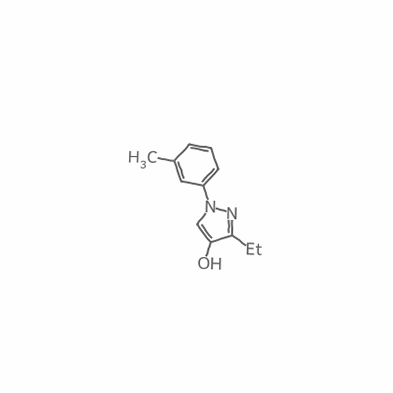 CCc1nn(-c2cccc(C)c2)cc1O